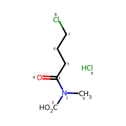 CN(C(=O)O)C(=O)CCCCl.Cl